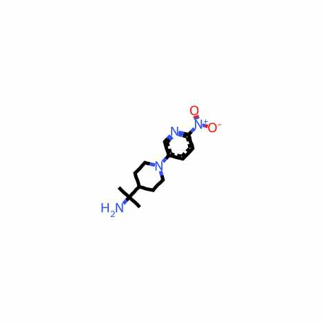 CC(C)(N)C1CCN(c2ccc([N+](=O)[O-])nc2)CC1